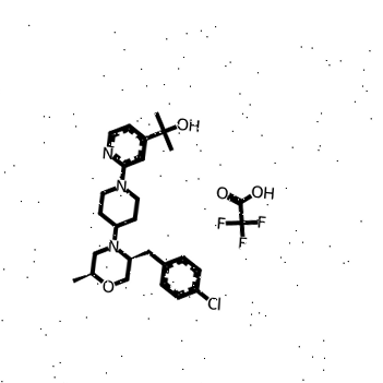 C[C@H]1CN(C2CCN(c3cc(C(C)(C)O)ccn3)CC2)[C@@H](Cc2ccc(Cl)cc2)CO1.O=C(O)C(F)(F)F